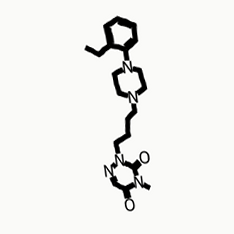 CCc1ccccc1N1CCN(CCCCn2ncc(=O)n(C)c2=O)CC1